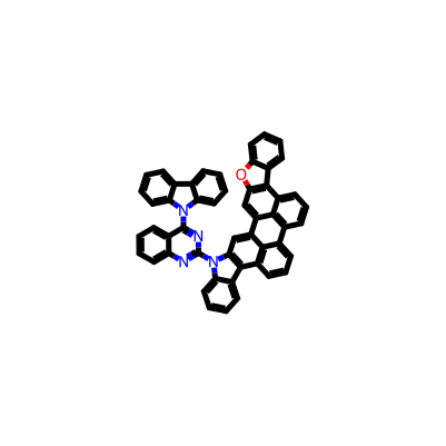 c1ccc2c(-n3c4ccccc4c4ccccc43)nc(-n3c4ccccc4c4c5cccc6c7cccc8c9c(cc(c(cc43)c65)c78)oc3ccccc39)nc2c1